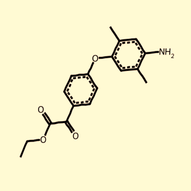 CCOC(=O)C(=O)c1ccc(Oc2cc(C)c(N)cc2C)cc1